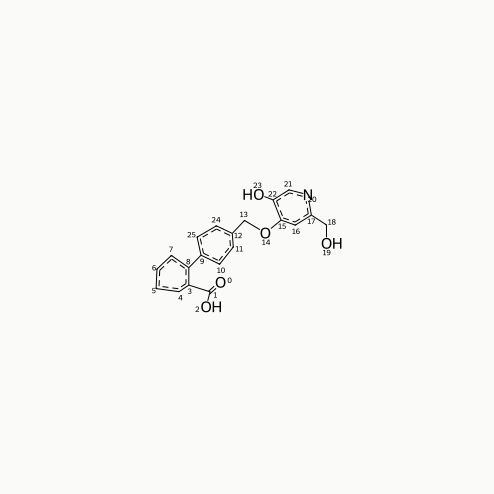 O=C(O)c1ccccc1-c1ccc(COc2cc(CO)ncc2O)cc1